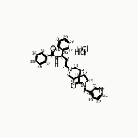 Cl.Cl.O=C(NC(CCN1CCC2(CC1)CCN(Cc1cccnc1)C2=O)c1ccccc1)c1ccccc1